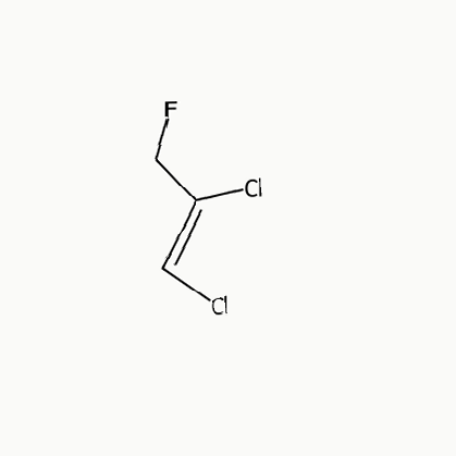 FCC(Cl)=CCl